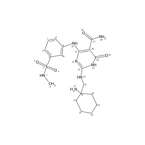 CNS(=O)(=O)c1cccc(Nc2nc(NCC3(N)CCCCC3)[nH]c(=O)c2C(N)=O)c1